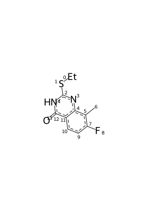 CCSc1nc2c(C)c(F)ccc2c(=O)[nH]1